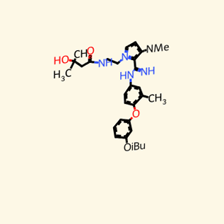 CNc1ccn(CCNC(=O)CC(C)(C)O)c1C(=N)Nc1ccc(Oc2cccc(OCC(C)C)c2)c(C)c1